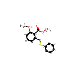 COC(=O)c1c(CSc2ccccc2)cccc1OC